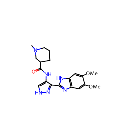 COc1cc2nc(-c3n[nH]cc3NC(=O)C3CCCN(C)C3)[nH]c2cc1OC